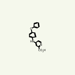 O=C(O)c1cc(Nc2ccc(Oc3ccccc3)cc2)ccn1